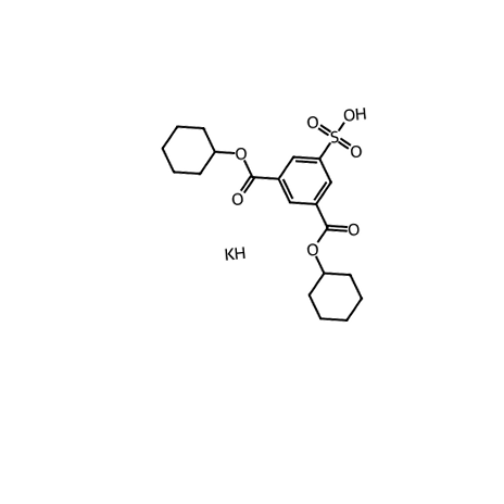 O=C(OC1CCCCC1)c1cc(C(=O)OC2CCCCC2)cc(S(=O)(=O)O)c1.[KH]